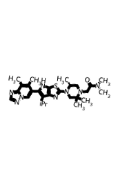 Cc1c(-c2[nH]c3sc(N4CC(C)(C)N(CC(=O)N(C)C)C[C@@H]4C)nc3c2C(C)C)cn2ncnc2c1C